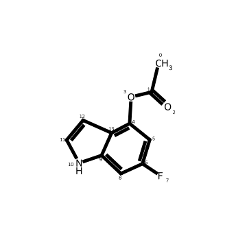 CC(=O)Oc1cc(F)cc2[nH]ccc12